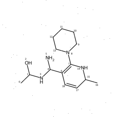 CC(O)NC(N)C1=C(N2CCCCC2)NC(C)C=C1